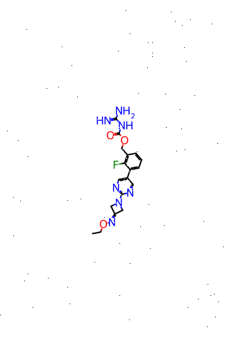 CCON=C1CN(c2ncc(-c3cccc(COC(=O)NC(=N)N)c3F)cn2)C1